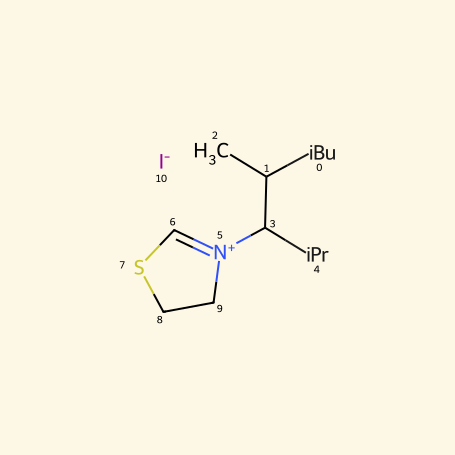 CCC(C)C(C)C(C(C)C)[N+]1=CSCC1.[I-]